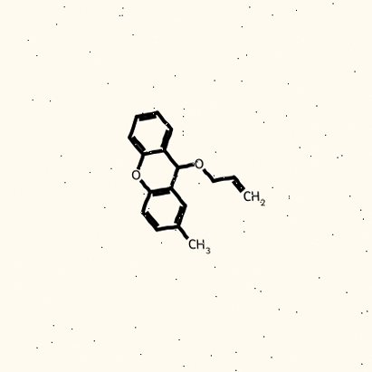 C=CCOC1c2ccccc2Oc2ccc(C)cc21